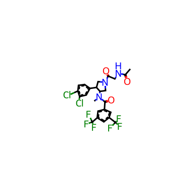 CC(=O)NCC(=O)N1CC(c2ccc(Cl)c(Cl)c2)C(N(C)C(=O)c2cc(C(F)(F)F)cc(C(F)(F)F)c2)C1